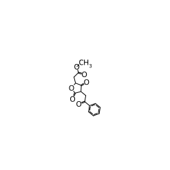 COC(=O)CC1OC(=O)C(CC(=O)c2ccccc2)C1=O